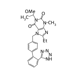 CCc1nc2c(c(=O)n(C(C)OC)c(=O)n2C)n1Cc1ccc(-c2ccccc2-c2nnn[nH]2)cc1